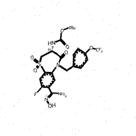 CC(C)(C)OC(=O)N[C@H]1CS(=O)(=O)c2cc(F)c(/C(N)=N/O)cc2N(Cc2ccc(OC(F)(F)F)cc2)C1=O